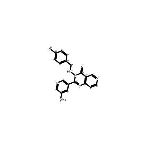 COc1cncc(-c2nc3ccncc3c(=O)n2NCc2ccc(Cl)cc2)c1